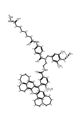 Cc1cc(CN(CCNC(=O)c2ccc(C(=O)O)c(C3=c4cc5c6c(c4Oc4c3cc3c7c4CCCN7CCCC3)CCC[N+]=6CCCC5)c2)C(=O)c2ccc(NC(=O)CCCCCCC(=O)NO)cc2)cc(C)c1N=[N+]=[N-]